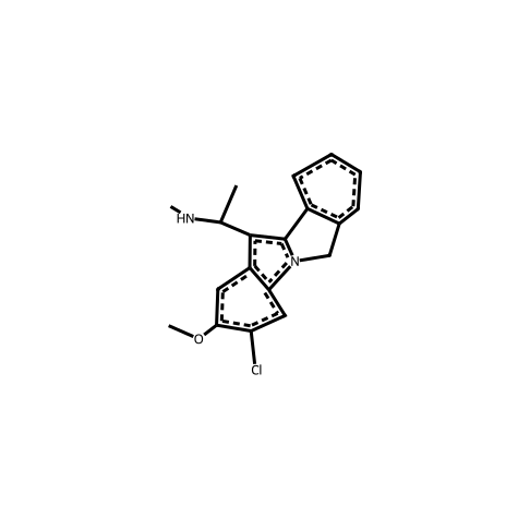 CNC(C)c1c2n(c3cc(Cl)c(OC)cc13)Cc1ccccc1-2